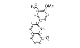 COc1ccc(-c2ccc3cccc(Cl)c3n2)cc1C(F)(F)F